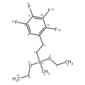 CCO[Si](C)(CCc1cc(F)c(F)c(F)c1F)OCC